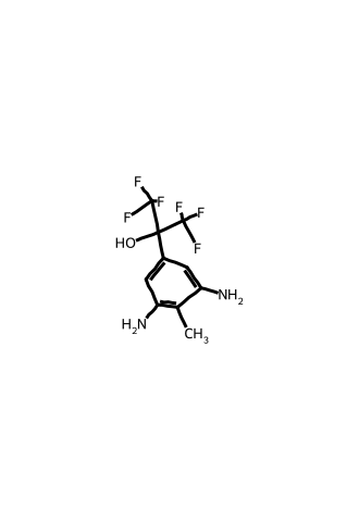 Cc1c(N)cc(C(O)(C(F)(F)F)C(F)(F)F)cc1N